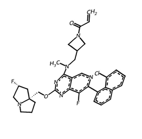 C=CC(=O)N1CC(CN(C)c2nc(OC[C@]34CCCN3C[C@H](F)C4)nc3c(F)c(-c4cccc5cccc(Cl)c45)ncc23)C1